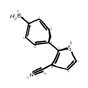 Bc1ccc(-c2sccc2C#N)cc1